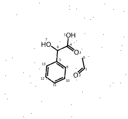 CC=O.O=C(O)C(O)c1ccccc1